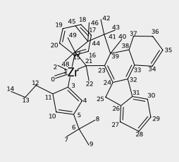 [CH2]=[Zr]([CH3])([C]1=CC(C(C)(C)C)=CC1CCC)([c]1ccccc1)[C]1(C)C2=C3Cc4ccccc4C3=C3C=CCCC3C2(C)C(C)(C)C(C)(C)C1(C)C